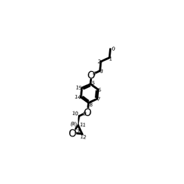 CCCCOc1ccc(OC[C@H]2CO2)cc1